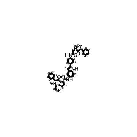 CCCN(CC(=O)Nc1ccc(-c2cc3cc(NC(=O)[C@@H]4CCCN4C(=O)[C@@H](c4ccccc4)N(C)CCC(C)C)ccc3[nH]2)cc1)C(=O)Cc1ccccc1